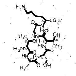 C[C@H](NC(=O)[C@@H](N)[C@@H](C)O)C(=O)N[C@@H](CO)C(=O)N[C@H](C(=O)NCC(=O)N[C@@H](CCCCN)C(=O)O)[C@@H](C)O